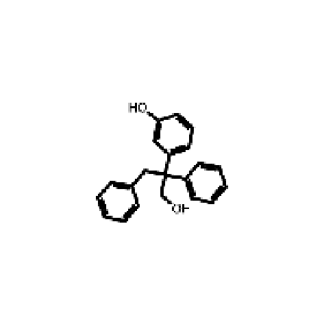 OCC(Cc1ccccc1)(c1ccccc1)c1cccc(O)c1